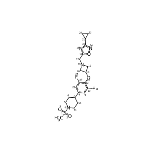 CS(=O)(=O)N1CCC(c2cc(F)c(OC3CN(Cc4nc(C5CC5)no4)C3)c(F)c2)CC1